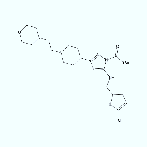 CC(C)(C)C(=O)n1nc(C2CCN(CCN3CCOCC3)CC2)cc1NCc1ccc(Cl)s1